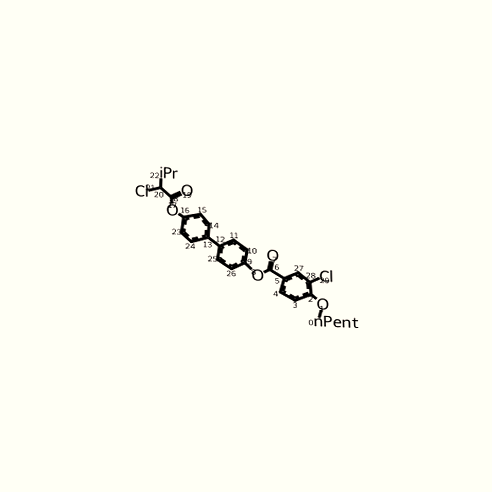 CCCCCOc1ccc(C(=O)Oc2ccc(-c3ccc(OC(=O)C(Cl)C(C)C)cc3)cc2)cc1Cl